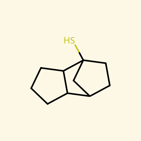 SC12CCC(C1)C1CCCC12